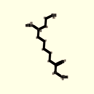 CCCCCCCCCCOC(=O)CCCCCN(CCO)CCCCCC